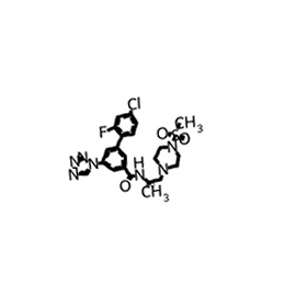 C[C@H](CN1CCN(S(C)(=O)=O)CC1)NC(=O)c1cc(-c2ccc(Cl)cc2F)cc(-n2cnnn2)c1